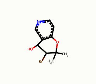 CC1(C)Oc2ccncc2C(O)C1Br